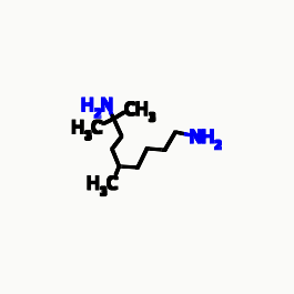 CC(CCCCN)CCC(C)(C)N